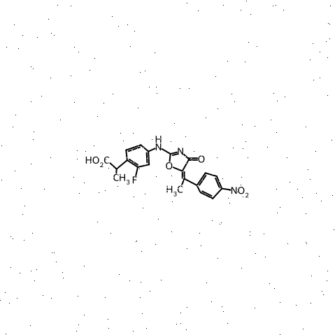 CC(=C1OC(Nc2ccc(C(C)C(=O)O)c(F)c2)=NC1=O)c1ccc([N+](=O)[O-])cc1